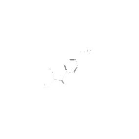 COc1ccc(C(=O)C(N)C(C)=O)cc1